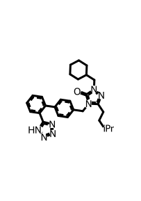 CC(C)CCc1nn(CC2CCCCC2)c(=O)n1Cc1ccc(-c2ccccc2-c2nnn[nH]2)cc1